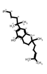 CC(C)=CCCC1(C)CCc2c(O)cc(C(C)(C)CCCC(C)C)cc2O1